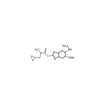 COc1cc2nn(CC(=O)N(C)CC3CC3)cc2cc1NC(=O)O